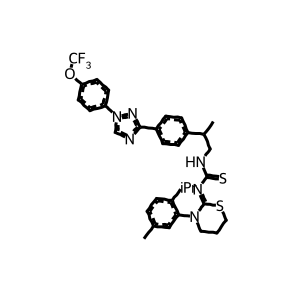 Cc1ccc(C(C)C)c(N2CCCS/C2=N\C(=S)NCC(C)c2ccc(-c3ncn(-c4ccc(OC(F)(F)F)cc4)n3)cc2)c1